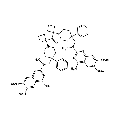 COc1cc2nc(N(C)CC3(c4ccccc4)CCN(C4(C(=O)C5(N6CCC(CN(C)c7nc(N)c8cc(OC)c(OC)cc8n7)(c7ccccc7)CC6)CCC5)CCC4)CC3)nc(N)c2cc1OC